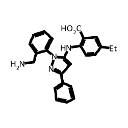 CCc1ccc(Nc2cc(-c3ccccc3)nn2-c2ccccc2CN)c(C(=O)O)c1